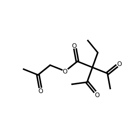 CCC(C(C)=O)(C(C)=O)C(=O)OCC(C)=O